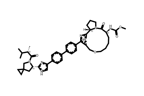 COC(=O)N[C@H]1CCCCOCc2[nH]c(nc2-c2ccc(-c3ccc(-c4c[nH]c([C@@H]5CC6(CC6)CN5C(=O)[C@@H](C)C(C)C)n4)cc3)cc2)[C@@H]2CCCN2C1=O